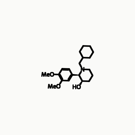 COc1ccc([C@@H]2[C@H](O)CCCN2CC2CCCCC2)cc1OC